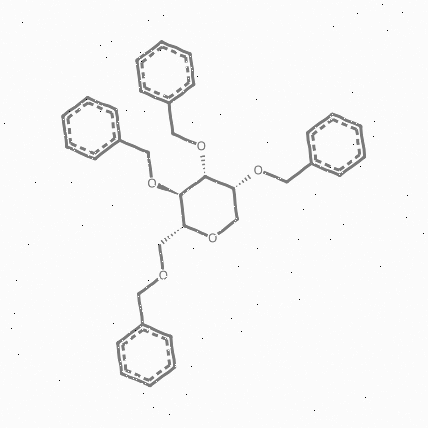 c1ccc(COC[C@H]2OC[C@@H](OCc3ccccc3)[C@@H](OCc3ccccc3)[C@@H]2OCc2ccccc2)cc1